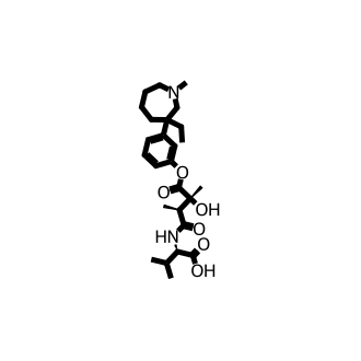 CCC1(c2cccc(OC(=O)[C@](C)(O)[C@H](C)C(=O)N[C@H](C(=O)O)C(C)C)c2)CCCCN(C)C1